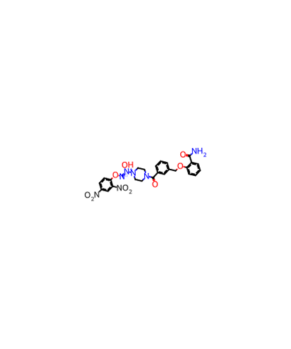 NC(=O)c1ccccc1OCc1cccc(C(=O)N2CCN(/[N+](O)=N/Oc3ccc([N+](=O)[O-])cc3[N+](=O)[O-])CC2)c1